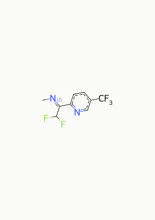 C/N=C(/c1ccc(C(F)(F)F)cn1)C(F)F